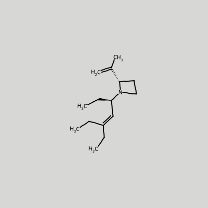 C=C(C)[C@@H]1CCN1[C@@H](C=C(CC)CC)CC